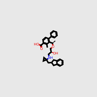 Cc1c(C(=O)O)ccc(-c2ccccc2)c1[C@@H](C)OC[C@@H](O)CNC1(CC2Cc3ccccc3C2)CC1